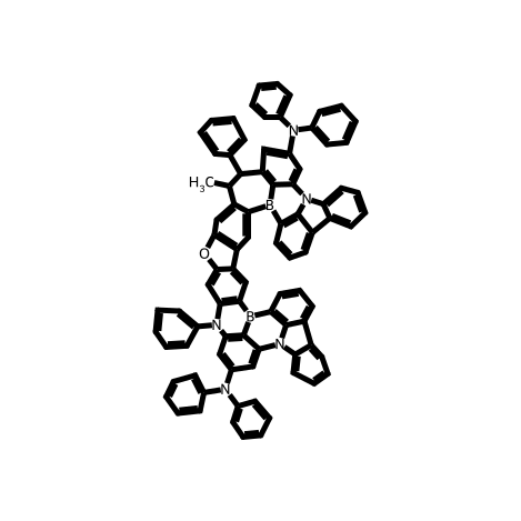 CC1c2cc3oc4cc5c(cc4c3cc2B2c3c(cc(N(c4ccccc4)c4ccccc4)cc3-n3c4ccccc4c4cccc2c43)C1c1ccccc1)B1c2c(cc(N(c3ccccc3)c3ccccc3)cc2-n2c3ccccc3c3cccc1c32)N5c1ccccc1